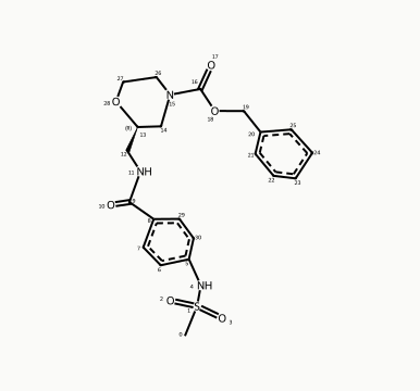 CS(=O)(=O)Nc1ccc(C(=O)NC[C@@H]2CN(C(=O)OCc3ccccc3)CCO2)cc1